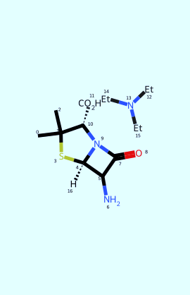 CC1(C)S[C@@H]2C(N)C(=O)N2[C@H]1C(=O)O.CCN(CC)CC